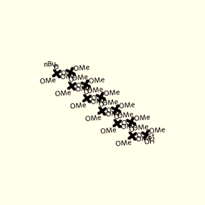 CCCCOCC(COC)(COC)COCC(COC)(COC)COCC(COC)(COC)COCC(COC)(COC)COCC(COC)(COC)COCC(COC)(COC)COCC(COC)(COC)COCC(COC)(COC)COCC(COC)(COC)COCC(COC)(COC)COCC(COC)(COC)COCC(CC)(CO)COC